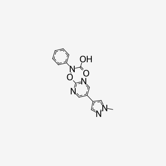 Cn1cc(-c2cnc(ON(C(=O)O)c3ccccc3)nc2)cn1